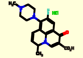 CC1C=Cc2c(N3CCN(C)CC3)c(F)cc3c(=O)c(C(=O)O)cn1c23.Cl